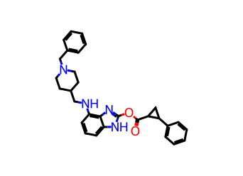 O=C(Oc1nc2c(NCC3CCN(Cc4ccccc4)CC3)cccc2[nH]1)C1CC1c1ccccc1